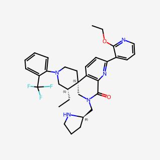 CCOc1ncccc1-c1ccc2c(n1)C(=O)N(C[C@H]1CCCN1)C[C@]21CCN(c2ccccc2C(F)(F)F)C[C@H]1CC